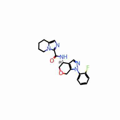 O=C(N[C@H]1COCc2c1cnn2-c1ccccc1F)c1ncc2n1CCCC2